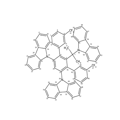 CC(C)(c1c(-c2cccc(C(F)(F)F)c2)c(-n2c3ccccc3c3ccccc32)cc(-n2c3ccccc3c3ccccc32)c1-c1cccc(C(F)(F)F)c1)n1c2ccccc2c2ccccc21